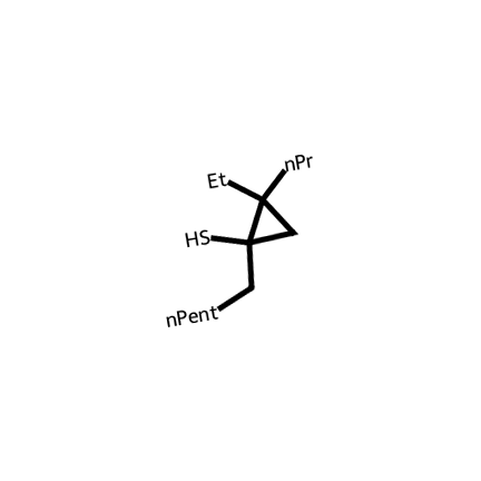 CCCCCCC1(S)CC1(CC)CCC